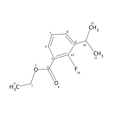 CCOC(=O)c1cccc(C(C)C)c1F